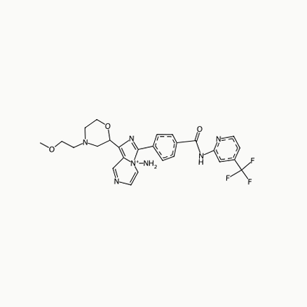 COCCN1CCOC(C2=C3C=NC=C[N+]3(N)C(c3ccc(C(=O)Nc4cc(C(F)(F)F)ccn4)cc3)=N2)C1